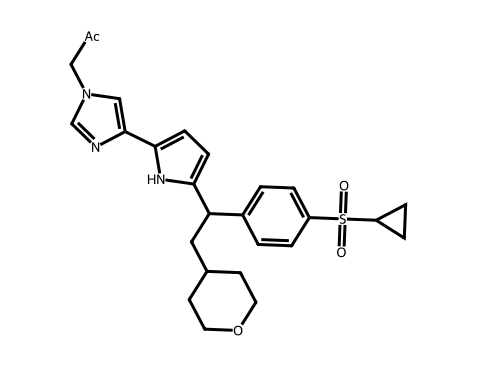 CC(=O)Cn1cnc(-c2ccc(C(CC3CCOCC3)c3ccc(S(=O)(=O)C4CC4)cc3)[nH]2)c1